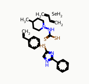 C=CC=C.C=Cc1ccccc1.CC1CCN(NC(=S)S)CC1.Sc1c[nH]c(-c2ccccc2)n1.[SeH2]